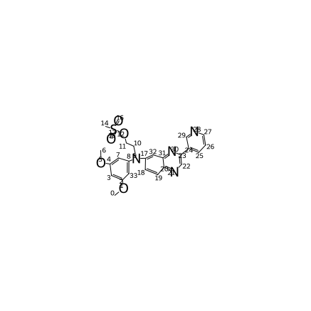 COc1cc(OC)cc(N(CCOS(C)(=O)=O)c2ccc3ncc(-c4cccnc4)nc3c2)c1